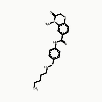 CCCCCNSc1ccc(NC(=O)c2ccc3c(c2)N(C)C(=O)CS3)cc1